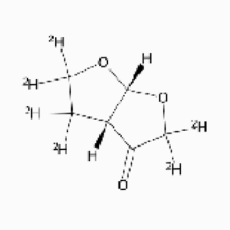 [2H]C1([2H])O[C@H]2OC([2H])([2H])C([2H])([2H])[C@H]2C1=O